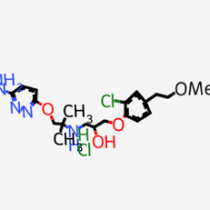 COCCc1ccc(OCC(O)CNC(C)(C)COc2ccc(NN)nn2)c(Cl)c1.Cl